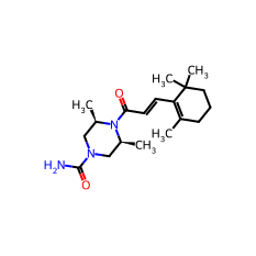 CC1=C(/C=C/C(=O)N2[C@H](C)CN(C(N)=O)C[C@@H]2C)C(C)(C)CCC1